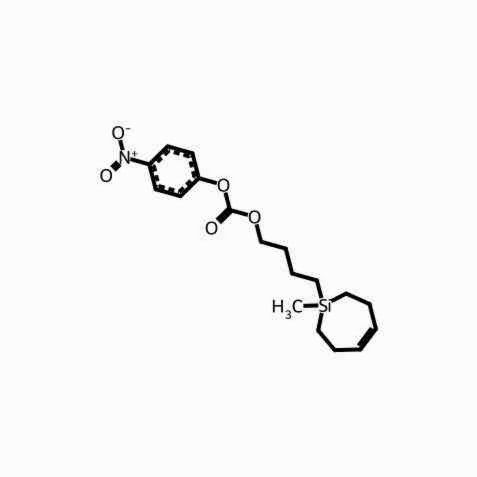 C[Si]1(CCCCOC(=O)Oc2ccc([N+](=O)[O-])cc2)CCC=CCC1